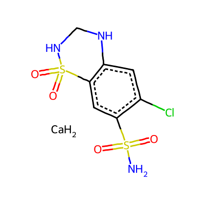 NS(=O)(=O)c1cc2c(cc1Cl)NCNS2(=O)=O.[CaH2]